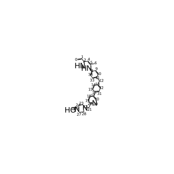 C=CC(=N)/C=C(/C)Nc1ccc(Cc2ccc(-c3ccc(CN4CCN(O)CC4)nc3)cc2)cc1